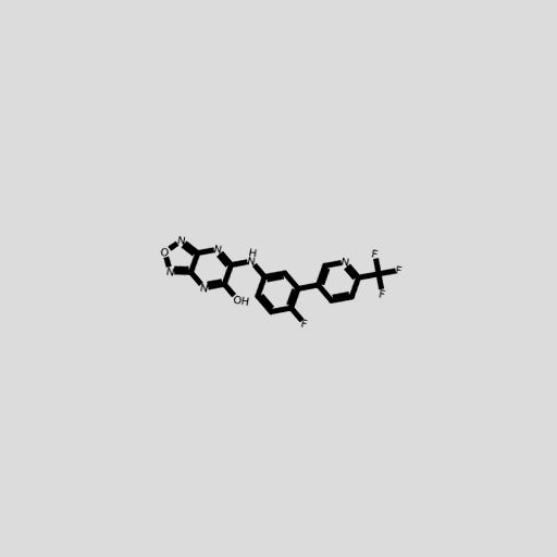 Oc1nc2nonc2nc1Nc1ccc(F)c(-c2ccc(C(F)(F)F)nc2)c1